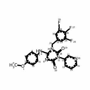 COc1ccc(Nc2nc(=O)n(-c3cccnc3)c(=O)n2Cc2cc(F)c(F)c(F)c2)cc1